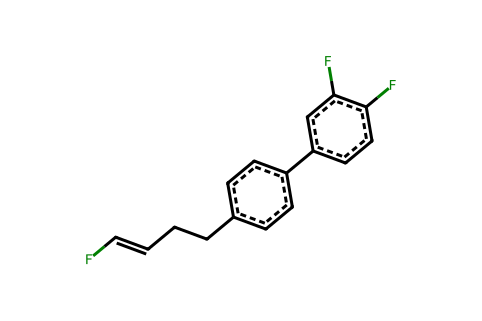 FC=CCCc1ccc(-c2ccc(F)c(F)c2)cc1